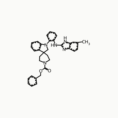 Cc1ccc2nc(Nc3ccccc3N3CC4(CCN(C(=O)OCc5ccccc5)CC4)c4ccccc43)[nH]c2c1